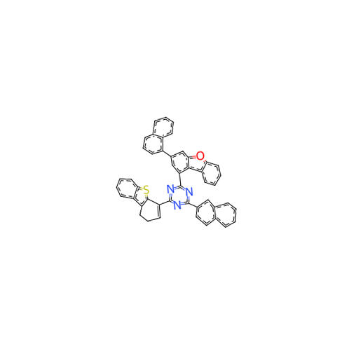 C1=C(c2nc(-c3ccc4ccccc4c3)nc(-c3cc(-c4cccc5ccccc45)cc4oc5ccccc5c34)n2)c2sc3ccccc3c2CC1